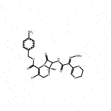 CON=C(C(=O)NC1C(=O)N2C(C(=O)OCc3ccc([N+](=O)[O-])cc3)=C(Cl)CS[C@@H]12)C1=CSCCS1